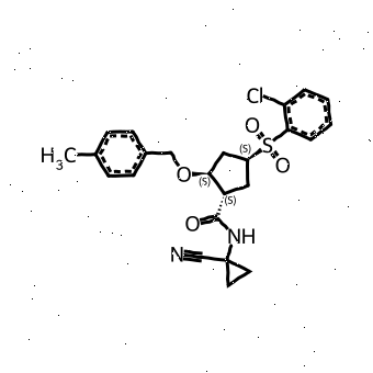 Cc1ccc(CO[C@H]2C[C@@H](S(=O)(=O)c3ccccc3Cl)C[C@@H]2C(=O)NC2(C#N)CC2)cc1